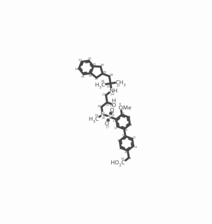 COc1ccc(-c2ccc(CC(=O)O)cc2)cc1S(=O)(=O)N(C)CC(O)CNC(C)(C)CC1Cc2ccccc2C1